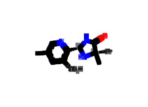 Cc1cnc([C@@H]2NC(=O)[C@](C)(C(C)C)N2)c(C(=O)O)c1